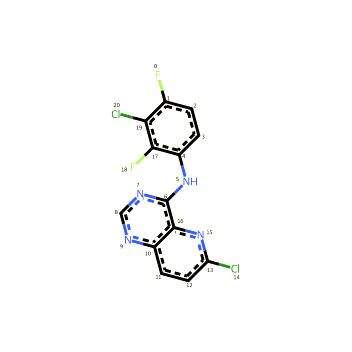 Fc1ccc(Nc2ncnc3ccc(Cl)nc23)c(F)c1Cl